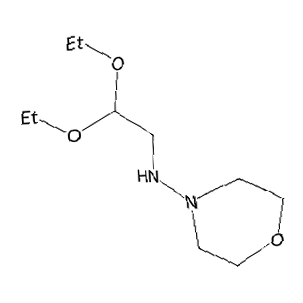 CCOC(CNN1CCOCC1)OCC